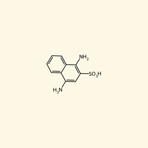 Nc1cc(S(=O)(=O)O)c(N)c2ccccc12